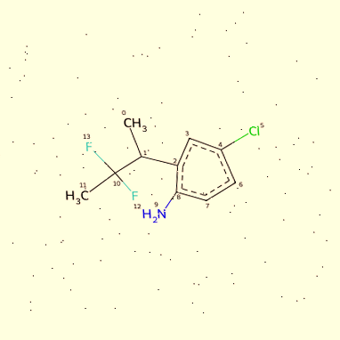 CC(c1cc(Cl)ccc1N)C(C)(F)F